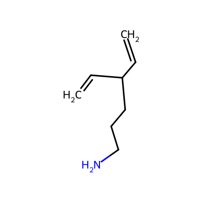 C=CC(C=C)CCCN